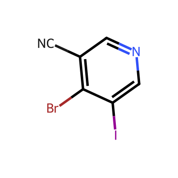 N#Cc1cncc(I)c1Br